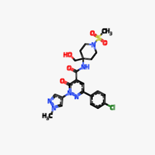 Cn1cc(-n2nc(-c3ccc(Cl)cc3)cc(C(=O)NC3(CO)CCN(S(C)(=O)=O)CC3)c2=O)cn1